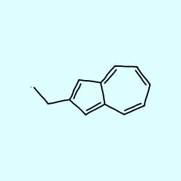 [CH2]Cc1cc2cccccc-2c1